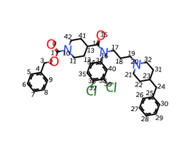 O=C(OCc1ccccc1)N1CCC(C(=O)N(CCCN2CCC(Cc3ccccc3)CC2)c2ccc(Cl)c(Cl)c2)CC1